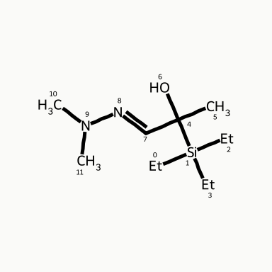 CC[Si](CC)(CC)C(C)(O)C=NN(C)C